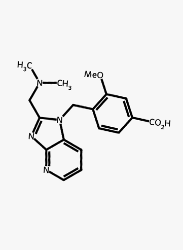 COc1cc(C(=O)O)ccc1Cn1c(CN(C)C)nc2ncccc21